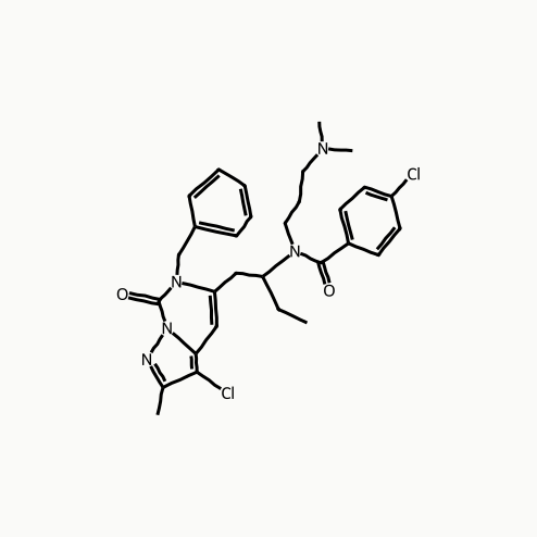 CCC(Cc1cc2c(Cl)c(C)nn2c(=O)n1Cc1ccccc1)N(CCCN(C)C)C(=O)c1ccc(Cl)cc1